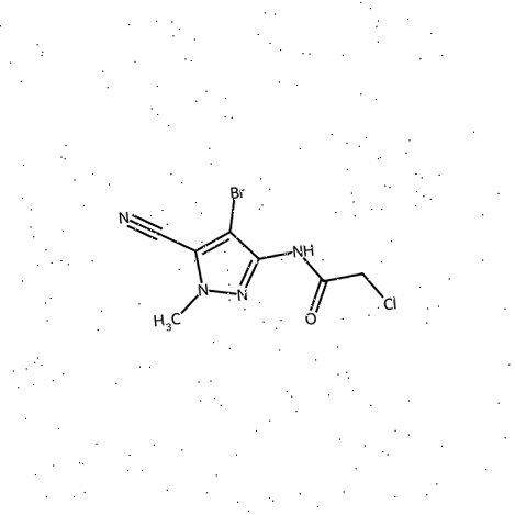 Cn1nc(NC(=O)CCl)c(Br)c1C#N